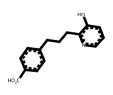 O=C(O)c1ccc(CCCc2ncccc2O)cc1